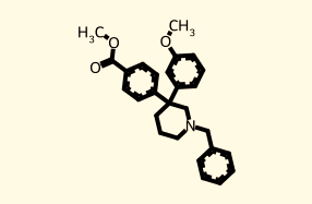 COC(=O)c1ccc(C2(c3cccc(OC)c3)CCCN(Cc3ccccc3)C2)cc1